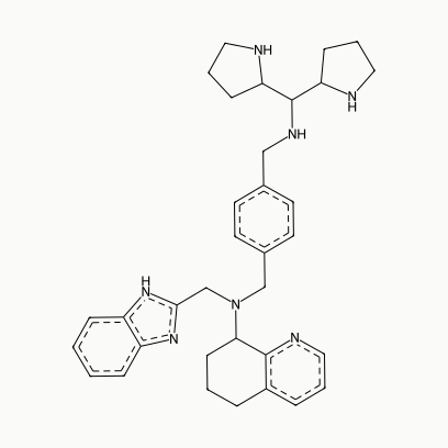 c1cnc2c(c1)CCCC2N(Cc1ccc(CNC(C2CCCN2)C2CCCN2)cc1)Cc1nc2ccccc2[nH]1